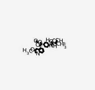 COc1cnc2cccc([C@H]3OC(=O)O[C@@H]3C3CCC(NC(=O)OC(C)(C)C)CC3)c2c1